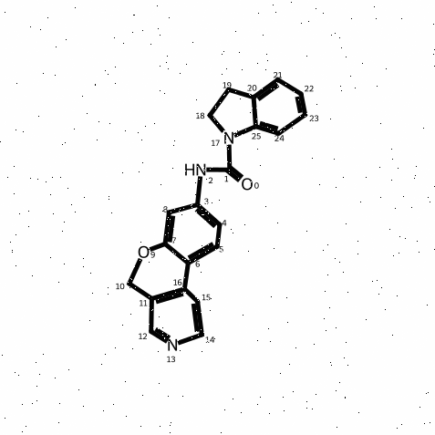 O=C(Nc1ccc2c(c1)OCc1cnccc1-2)N1CCc2ccccc21